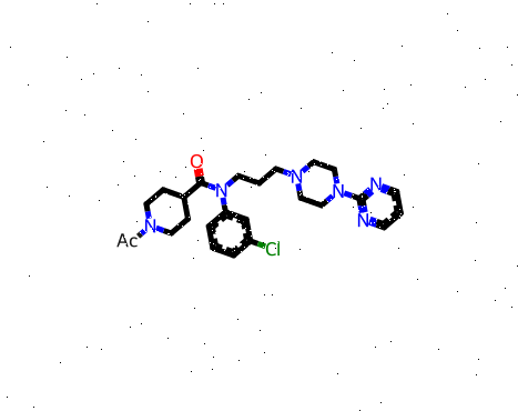 CC(=O)N1CCC(C(=O)N(CCCN2CCN(c3ncccn3)CC2)c2cccc(Cl)c2)CC1